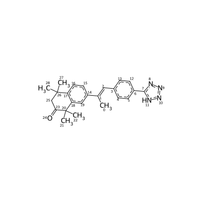 CC(=Cc1ccc(-c2nnn[nH]2)cc1)c1ccc2c(c1)C(C)(C)C(=O)CC2(C)C